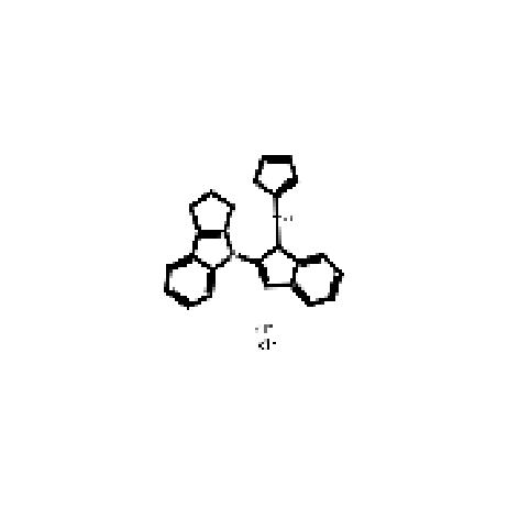 C1=CC[C]([Ti+2][CH]2C(p3c4c(c5ccccc53)CCC4)=Cc3ccccc32)=C1.[Cl-].[Cl-]